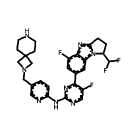 Fc1cnc(Nc2ccc(CN3CC4(CCNCC4)C3)cn2)nc1-c1cc(F)c2nc3n(c2c1)C(C(F)F)CC3